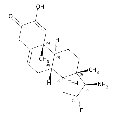 C[C@]12CC[C@H]3[C@@H](CC=C4CC(=O)C(O)=C[C@@]43C)[C@@H]1C[C@@H](F)[C@@H]2N